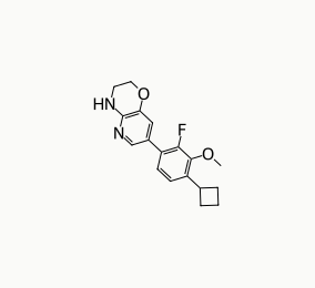 COc1c(C2CCC2)ccc(-c2cnc3c(c2)OCCN3)c1F